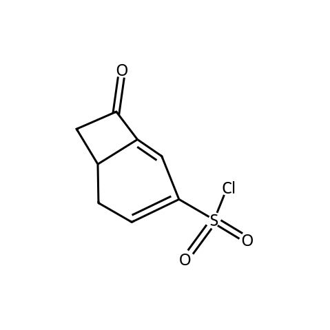 O=C1CC2CC=C(S(=O)(=O)Cl)C=C12